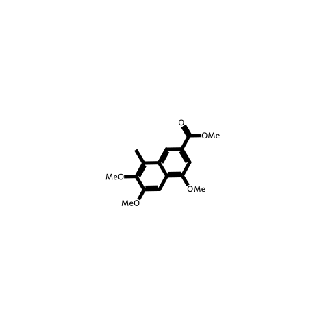 COC(=O)c1cc(OC)c2cc(OC)c(OC)c(C)c2c1